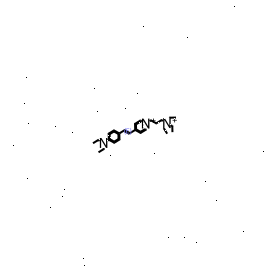 CCN(CC)c1ccc(/C=C/c2cc[n+](CCC[N+](CC)(CC)CC)cc2)cc1